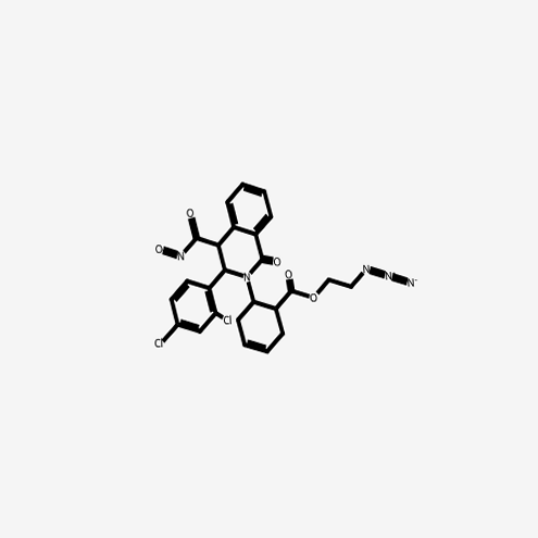 [N-]=[N+]=NCCOC(=O)C1CC=CCC1N1C(=O)c2ccccc2C(C(=O)N=O)C1c1ccc(Cl)cc1Cl